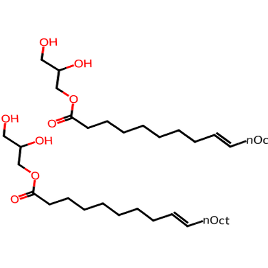 CCCCCCCCC=CCCCCCCCC(=O)OCC(O)CO.CCCCCCCCC=CCCCCCCCC(=O)OCC(O)CO